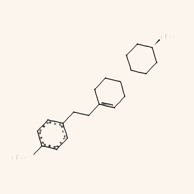 CCCCCc1ccc(CCC2=CCC([C@H]3CC[C@H](CCCCC)CC3)CC2)cc1